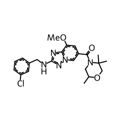 COc1cc(C(=O)N2CC(C)OCC2(C)C)cn2nc(NCc3cccc(Cl)c3)nc12